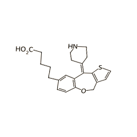 O=C(O)CCCCc1ccc2c(c1)C(=C1CCNCC1)c1sccc1CO2